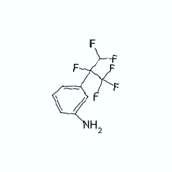 Nc1cccc(C(F)(C(F)F)C(F)(F)F)c1